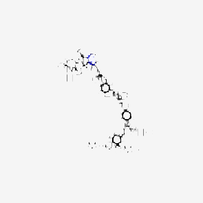 C/C=C1/C(=O)N(C2CCC(=O)NC2=O)C(=O)/C1=C(/C)OCC(=O)Nc1cccc(CNC(=O)COc2ccc([C@@H](CCc3ccc(OC)c(OC)c3)OC=O)cc2)c1